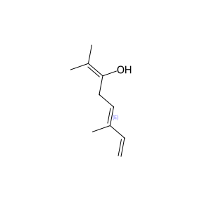 C=C/C(C)=C/CC(O)=C(C)C